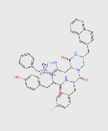 CC(=O)NC(Cc1ccc(O)cc1)C(=O)NC(Cc1ccc(F)cc1)C(=O)N1CC(Cc2ccc3ccccc3c2)NC(=O)C1Cc1cn(Cc2ccccc2)cn1